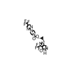 O=C(OC[C@@H]1C[C@H]1Cn1nc(C(F)(F)F)c2c(=O)[nH]ncc21)N1CCN(c2ncc(C(F)(F)F)cn2)CC1